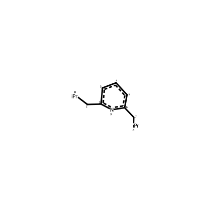 CC(C)Cc1cccc(CC(C)C)n1